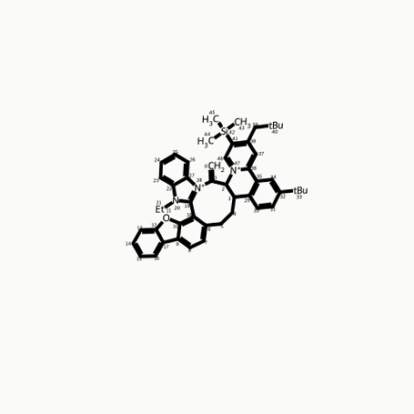 C=C1C2C(CCc3ccc4c(oc5ccccc54)c3-c3n(CC)c4ccccc4[n+]31)c1ccc(C(C)(C)C)cc1-c1cc(CC(C)(C)C)c([Si](C)(C)C)c[n+]12